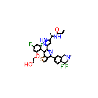 C=CC(=O)N[C@H](C)c1cc(-c2nc(-c3ccc4c(c3)CN(C)CC4(F)F)c3ccsc3c2-c2c(F)cc(F)cc2OCCO)n[nH]1